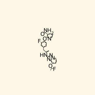 C=C(Cc1ccc(Oc2ncccc2C(N)=O)c(F)c1)Nc1nc2c(OC(C)F)cccn2n1